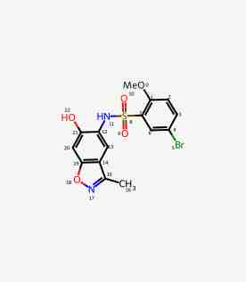 COc1ccc(Br)cc1S(=O)(=O)Nc1cc2c(C)noc2cc1O